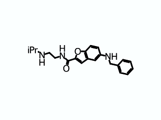 CC(C)NCCNC(=O)c1cc2cc(NCc3ccccc3)ccc2o1